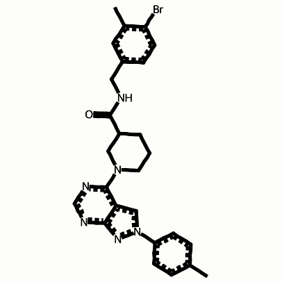 Cc1ccc(-n2cc3c(N4CCCC(C(=O)NCc5ccc(Br)c(C)c5)C4)ncnc3n2)cc1